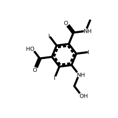 CNC(=O)c1c(I)c(NCO)c(I)c(C(=O)O)c1I